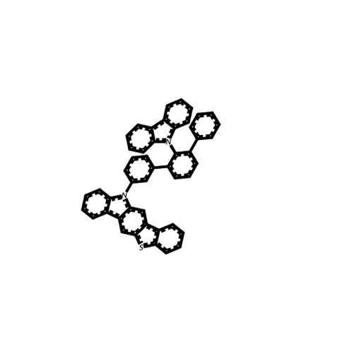 c1ccc(-c2cccc(-c3cccc(-n4c5ccccc5c5cc6sc7ccccc7c6cc54)c3)c2-n2c3ccccc3c3ccccc32)cc1